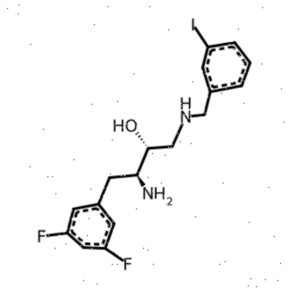 N[C@@H](Cc1cc(F)cc(F)c1)[C@H](O)CNCc1cccc(I)c1